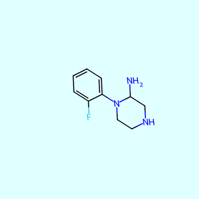 NC1CNCCN1c1ccccc1F